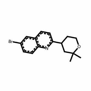 CC1(C)CC(c2ccc3cc(Br)ccc3n2)CCO1